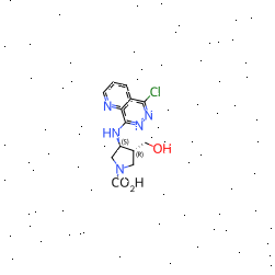 O=C(O)N1C[C@@H](CO)[C@H](Nc2nnc(Cl)c3cccnc23)C1